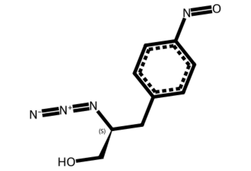 [N-]=[N+]=N[C@H](CO)Cc1ccc(N=O)cc1